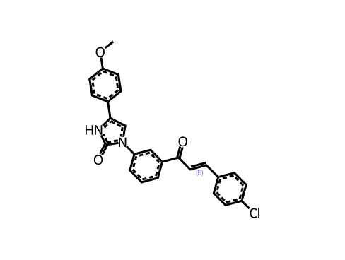 COc1ccc(-c2cn(-c3cccc(C(=O)/C=C/c4ccc(Cl)cc4)c3)c(=O)[nH]2)cc1